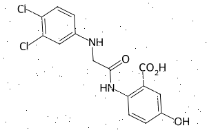 O=C(CNc1ccc(Cl)c(Cl)c1)Nc1ccc(O)cc1C(=O)O